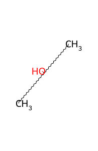 CCCCCCCCCCCCCCCCCCCCCC(O)CCCCCCCCCCCCCCCCCCCC